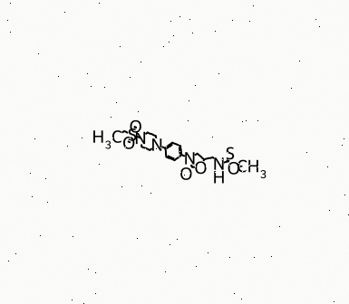 CCS(=O)(=O)N1CCN(c2ccc(N3CC(CNC(=S)OC)OC3=O)cc2)CC1